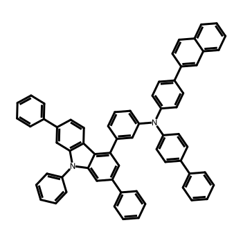 c1ccc(-c2ccc(N(c3ccc(-c4ccc5ccccc5c4)cc3)c3cccc(-c4cc(-c5ccccc5)cc5c4c4ccc(-c6ccccc6)cc4n5-c4ccccc4)c3)cc2)cc1